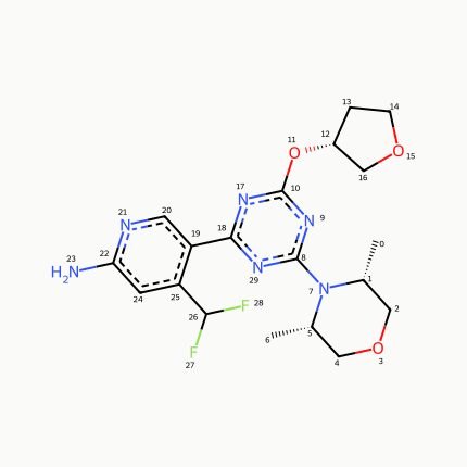 C[C@@H]1COC[C@H](C)N1c1nc(O[C@@H]2CCOC2)nc(-c2cnc(N)cc2C(F)F)n1